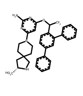 Nc1nc(OC(c2ccc(-c3ccccc3)cc2-c2ccccc2)C(F)(F)F)cc(N2CCC3(CC2)CN[C@H](C(=O)O)C3)n1